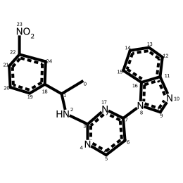 CC(Nc1nccc(-n2cnc3ccccc32)n1)c1cccc([N+](=O)[O-])c1